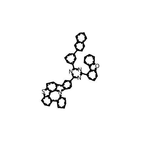 c1cc(-c2ccc3ccccc3c2)cc(-c2nc(-c3ccc4c(c3)c3ccc5sc6cccc7c8ccccc8n4c3c5c67)nc(-c3cccc4oc5ccccc5c34)n2)c1